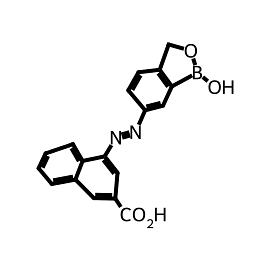 O=C(O)c1cc(/N=N/c2ccc3c(c2)B(O)OC3)c2ccccc2c1